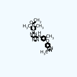 C=CC(=O)N1[C@@H](C)CN(c2ncc3ncnc(Nc4ccc(Oc5ccc6c(c5)nnn6C)c(C)c4)c3n2)C[C@@H]1C